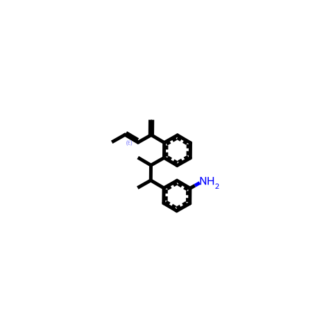 C=C(/C=C/C)c1ccccc1C(C)C(C)c1cccc(N)c1